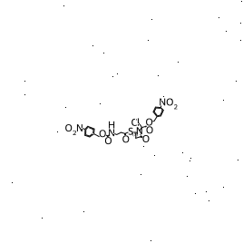 O=C(NCCC(=O)S[C@H]1CC(=O)N1C(Cl)C(=O)OCc1ccc([N+](=O)[O-])cc1)OCc1ccc([N+](=O)[O-])cc1